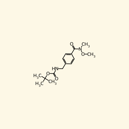 CON(C)C(=O)c1ccc(CNC(=O)OC(C)(C)C)cc1